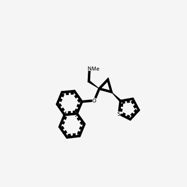 CNC[C@@]1(Oc2cccc3ccccc23)C[C@H]1c1cccs1